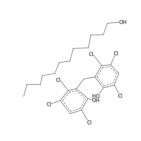 CCCCCCCCCCCCO.Oc1c(Cl)cc(Cl)c(Cl)c1Cc1c(O)c(Cl)cc(Cl)c1Cl